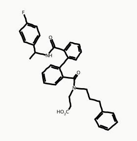 CC(NC(=O)c1ccccc1-c1ccccc1C(=O)N(CCCc1ccccc1)CCC(=O)O)c1ccc(F)cc1